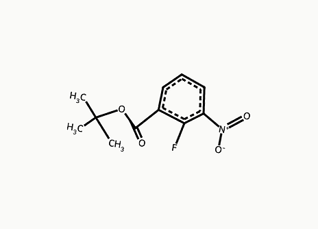 CC(C)(C)OC(=O)c1cccc([N+](=O)[O-])c1F